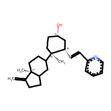 C=C1CCC2CC([C@@]3(C)CC[C@H](O)C[C@@H]3/C=C/c3ccccn3)CC[C@]12C